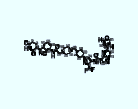 O=C1CC[C@@H](c2noc3c(NC(=O)CN4CCN(CC5CCC(n6cc(NC(=O)c7cnn8ccc(N9C[C@H]%10C[C@@H]9CO%10)nc78)c(C(F)F)n6)CC5)CC4)cccc23)C(=O)N1